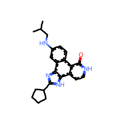 CC(C)CNc1ccc2c(c1)c1nc(C3CCCC3)[nH]c1c1cc[nH]c(=O)c21